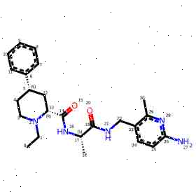 CCN1CC[C@H](c2ccccc2)C[C@@H]1C(=O)N[C@@H](C)C(=O)NCc1ccc(N)nc1C